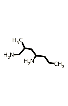 CCCC(N)CC(C)CN